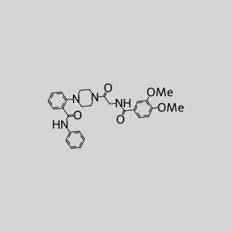 COc1ccc(C(=O)NCC(=O)N2CCN(c3ccccc3C(=O)Nc3ccccc3)CC2)cc1OC